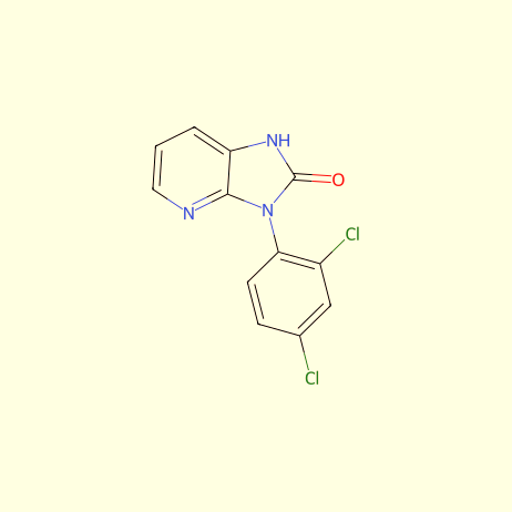 O=c1[nH]c2cccnc2n1-c1ccc(Cl)cc1Cl